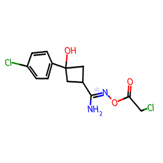 N/C(=N\OC(=O)CCl)C1CC(O)(c2ccc(Cl)cc2)C1